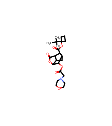 CC(C)(C)C1(OC(=O)C2C3CC4C(OC(=O)C42)C3OC(=O)CN2CCOCC2)CCC1